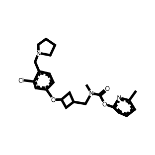 Cc1cccc(OC(=O)N(C)CC2CC(Oc3ccc(CN4CCCC4)c(Cl)c3)C2)n1